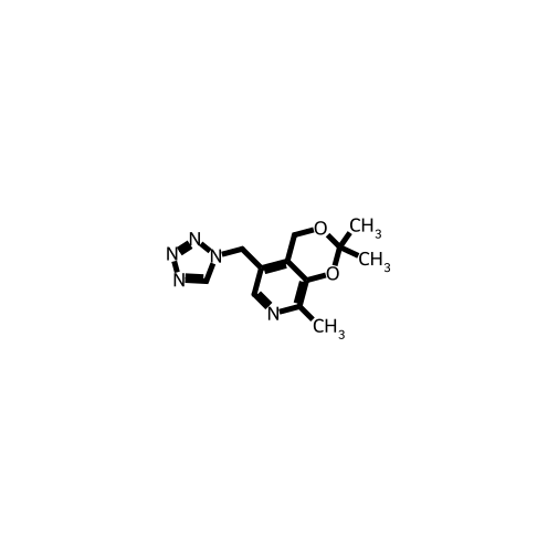 Cc1ncc(Cn2cnnn2)c2c1OC(C)(C)OC2